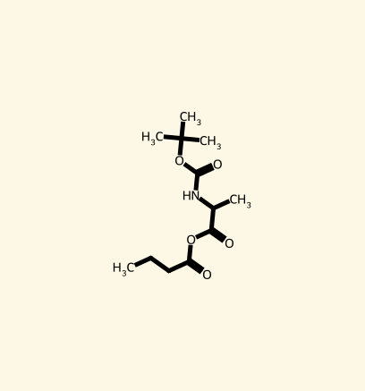 CCCC(=O)OC(=O)C(C)NC(=O)OC(C)(C)C